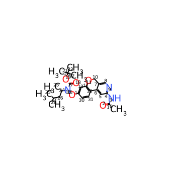 CC(=O)Nc1cc2c(cn1)COc1cc(ON(C(=O)OC(C)(C)C)C(C)CC(C)C)ccc1-2